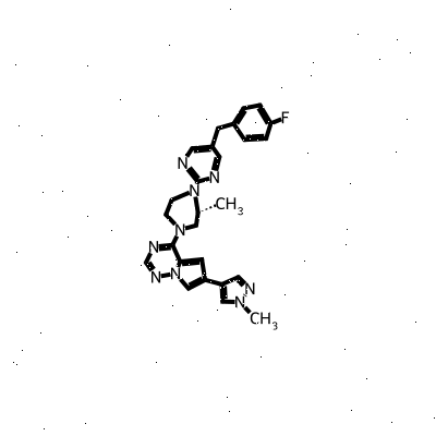 C[C@@H]1CN(c2ncnn3cc(-c4cnn(C)c4)cc23)CCN1c1ncc(Cc2ccc(F)cc2)cn1